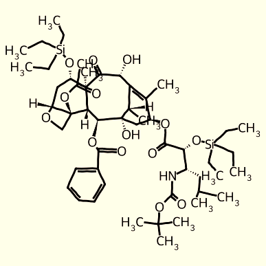 CC[Si](CC)(CC)O[C@H]1C[C@H]2OC[C@@]2(OC(C)=O)[C@H]2[C@H](OC(=O)c3ccccc3)[C@]3(O)C[C@H](OC(=O)[C@H](O[Si](CC)(CC)CC)[C@H](CC(C)C)NC(=O)OC(C)(C)C)C(C)=C([C@@H](O)C(=O)[C@]12C)[C@@H]3C